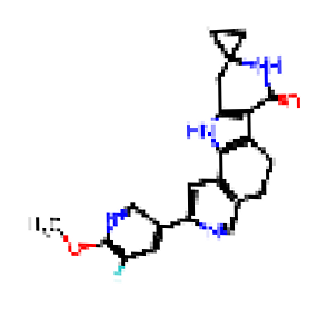 COc1ncc(-c2cc3c(cn2)CCc2c-3[nH]c3c2C(=O)NC2(CC2)C3)cc1F